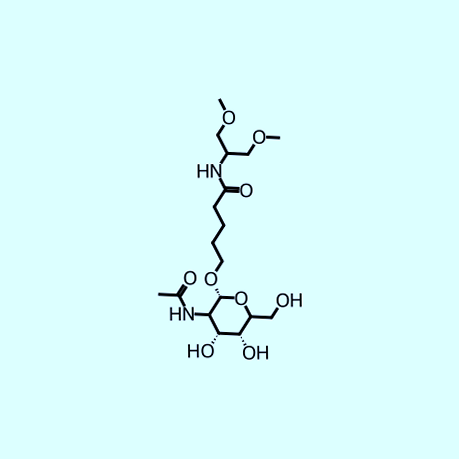 COCC(COC)NC(=O)CCCCO[C@@H]1OC(CO)[C@H](O)[C@H](O)C1NC(C)=O